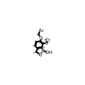 CCOc1c(OCC(C)=O)ccc2c1B(O)OC2